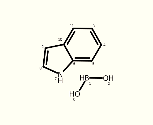 OBO.c1ccc2[nH]ccc2c1